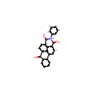 O=C1c2ccccc2-c2ccc3c4c(ccc1c24)C(=O)N(c1ccccc1)C3=O